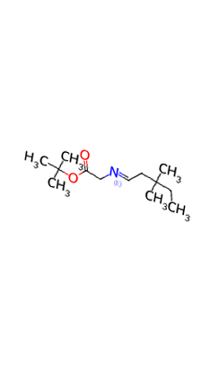 CCC(C)(C)C/C=N/CC(=O)OC(C)(C)C